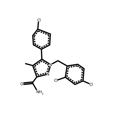 Cc1c(C(N)=O)nn(Cc2ccc(Cl)cc2Cl)c1-c1ccc(Cl)cc1